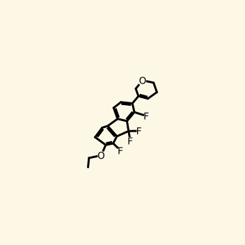 CCOc1ccc2c(c1F)C(F)(F)c1c-2ccc(C2=CCCOC2)c1F